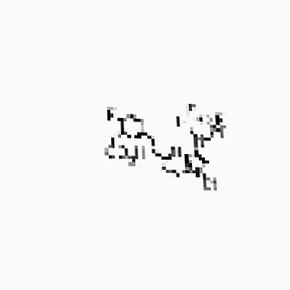 CCn1cc(N2CC(F)(F)OC(F)(F)C2)c2nc(SCc3ccc(F)c(CC(=O)O)c3)ncc21